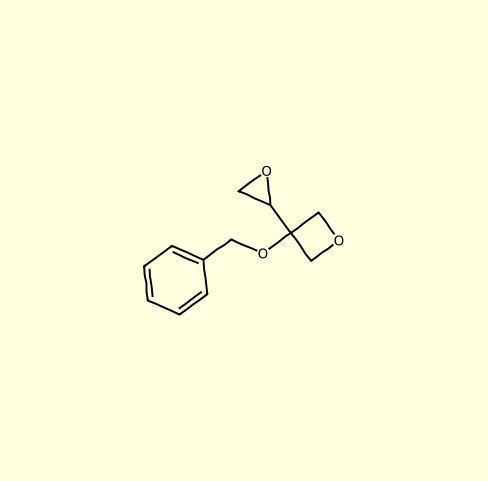 c1ccc(COC2(C3CO3)COC2)cc1